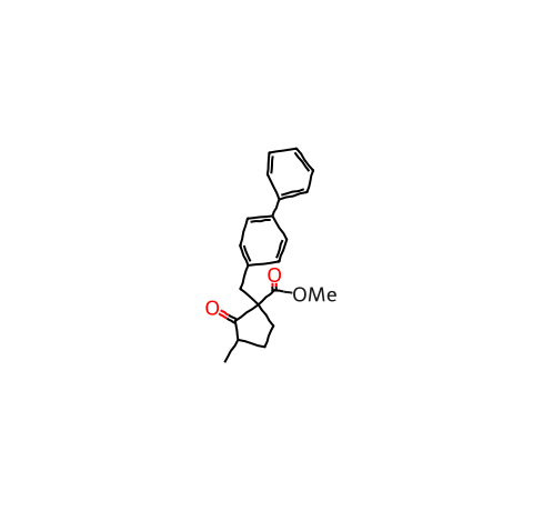 COC(=O)C1(Cc2ccc(-c3ccccc3)cc2)CCC(C)C1=O